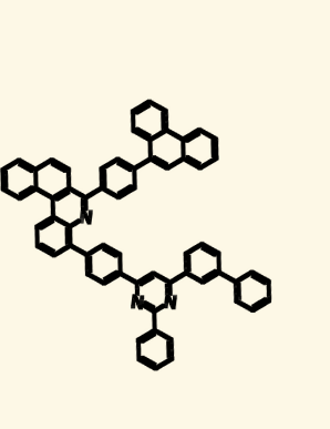 c1ccc(-c2cccc(-c3cc(-c4ccc(-c5cccc6c5nc(-c5ccc(-c7cc8ccccc8c8ccccc78)cc5)c5ccc7ccccc7c56)cc4)nc(-c4ccccc4)n3)c2)cc1